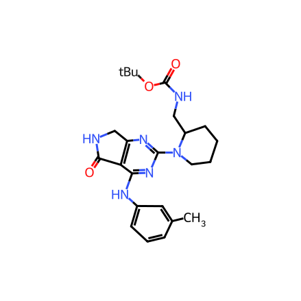 Cc1cccc(Nc2nc(N3CCCCC3CNC(=O)OC(C)(C)C)nc3c2C(=O)NC3)c1